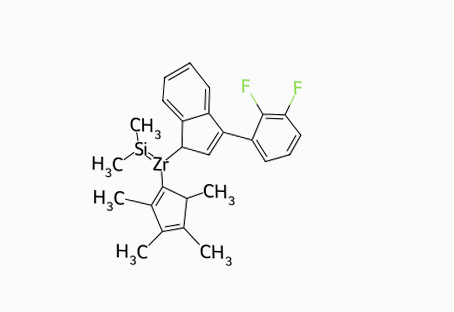 CC1=C(C)C(C)[C]([Zr]([CH]2C=C(c3cccc(F)c3F)c3ccccc32)=[Si](C)C)=C1C